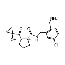 NCc1ccc(Cl)cc1CNC(=O)[C@@H]1CCCN1C(=O)C1(O)CC1